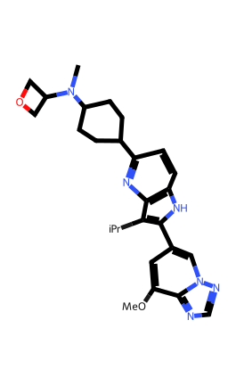 COc1cc(-c2[nH]c3ccc(C4CCC(N(C)C5COC5)CC4)nc3c2C(C)C)cn2ncnc12